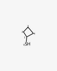 SC1C[CH]C1